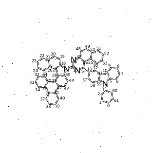 c1ccc(-n2c3ccccc3c3cc(-c4nc(-n5c6ccc7ccccc7c6c6c7c8ccccc8c8ccccc8c7ccc65)nc5ccc6ccccc6c45)ccc32)cc1